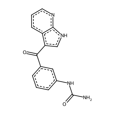 NC(=O)Nc1cccc(C(=O)c2c[nH]c3ncccc23)c1